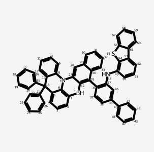 B1c2cccc3c2N(c2ccccc2C3(c2ccccc2)c2ccccc2)c2cc3ccccc3c(-c3ccc(-c4ccccc4)cc3Nc3cccc4c3sc3ccccc34)c21